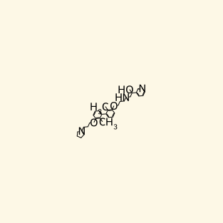 Cc1c(OCCCNCC(O)c2cccnc2)cccc1-c1cccc(OCCCN2CCCC2)c1C